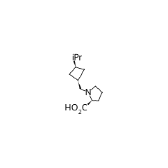 CC(C)[C@H]1C[C@@H](CN2CCC[C@H]2C(=O)O)C1